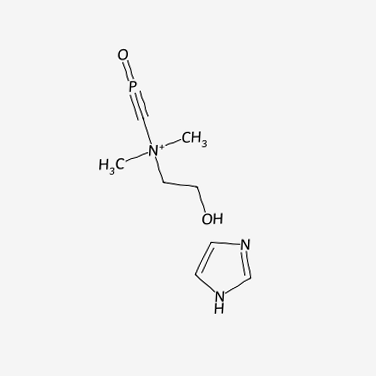 C[N+](C)(C#P=O)CCO.c1c[nH]cn1